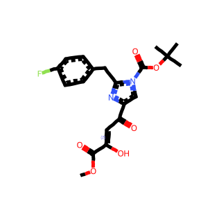 COC(=O)/C(O)=C/C(=O)c1cn(C(=O)OC(C)(C)C)c(Cc2ccc(F)cc2)n1